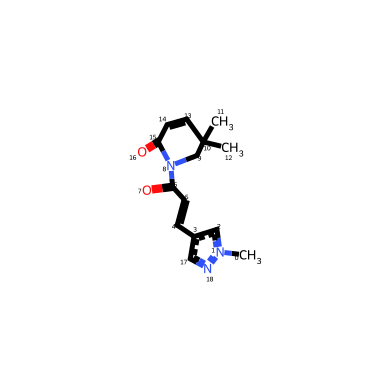 Cn1cc(C=CC(=O)N2CC(C)(C)C=CC2=O)cn1